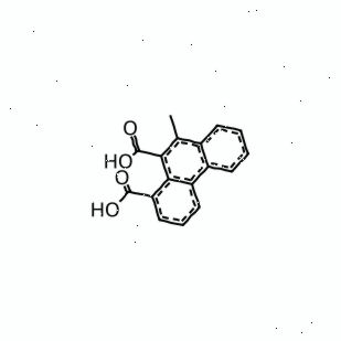 Cc1c(C(=O)O)c2c(C(=O)O)cccc2c2ccccc12